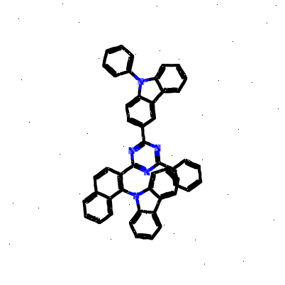 c1ccc(-c2nc(-c3ccc4c(c3)c3ccccc3n4-c3ccccc3)nc(-c3ccc4ccccc4c3-n3c4ccccc4c4ccccc43)n2)cc1